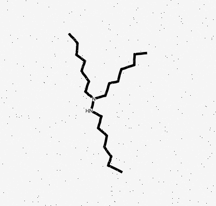 CCCCCCCNN(CCCCCCC)CCCCCCC